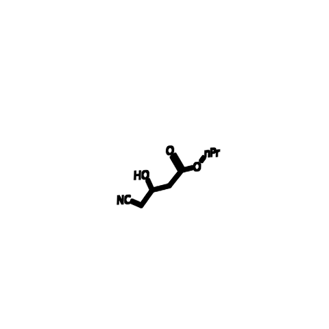 CCCOC(=O)CC(O)CC#N